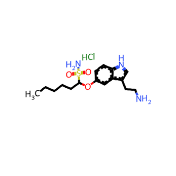 CCCCCC(Oc1ccc2[nH]cc(CCN)c2c1)S(N)(=O)=O.Cl